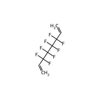 C=CC(F)(F)C(F)(F)C(F)(F)C(F)(F)C=C